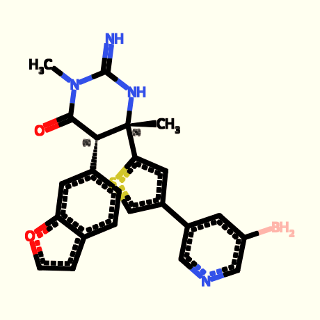 Bc1cncc(-c2csc([C@@]3(C)NC(=N)N(C)C(=O)[C@H]3c3ccc4ccoc4c3)c2)c1